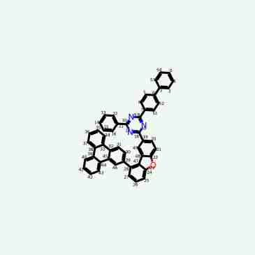 c1ccc(-c2ccc(-c3nc(-c4ccccc4)nc(-c4ccc5oc6cccc(-c7ccc8c9ccccc9c9ccccc9c8c7)c6c5c4)n3)cc2)cc1